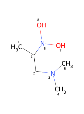 CC(CN(C)C)N(O)O